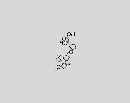 CCOc1ccc(F)c(-c2ccc(COc3cccc([C@H](O)CC(=O)O)c3)cc2[C@H]2CCCC2(C)C)c1